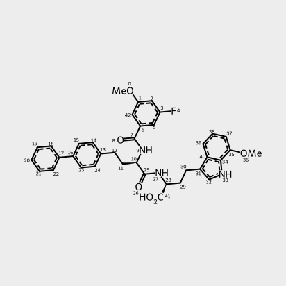 COc1cc(F)cc(C(=O)N[C@H](CCc2ccc(-c3ccccc3)cc2)C(=O)N[C@@H](CCc2c[nH]c3c(OC)cccc23)C(=O)O)c1